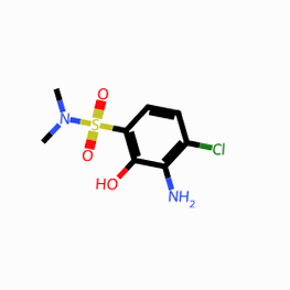 CN(C)S(=O)(=O)c1ccc(Cl)c(N)c1O